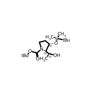 C[C@H](O)[C@H]1[C@@H](O[Si](C)(C)C(C)(C)C)CCN1C(=O)OC(C)(C)C